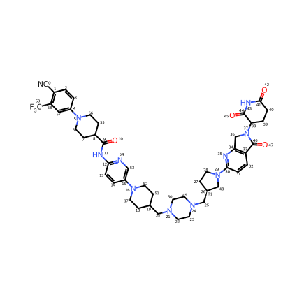 N#Cc1ccc(N2CCC(C(=O)Nc3ccc(N4CCC(CN5CCN(C[C@H]6CCN(c7ccc8c(n7)CN(C7CCC(=O)NC7=O)C8=O)C6)CC5)CC4)cn3)CC2)cc1C(F)(F)F